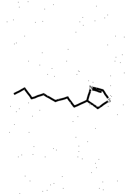 CCCCCC[CH]C1CSC=N1